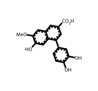 COc1cc2cc(C(=O)O)cc(-c3ccc(O)c(O)c3)c2cc1O